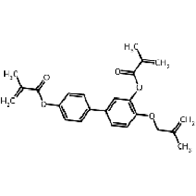 C=C(C)COc1ccc(-c2ccc(OC(=O)C(=C)C)cc2)cc1OC(=O)C(=C)C